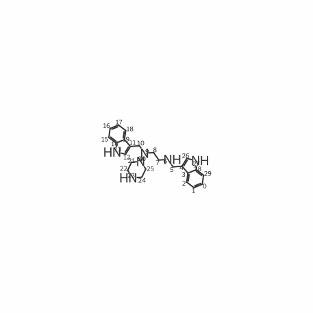 c1ccc2c(CNCCN(Cc3c[nH]c4ccccc34)N3CCNCC3)c[nH]c2c1